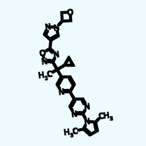 Cc1ccc(C)n1-c1ncc(-c2ccc(C(C)(c3noc(-c4cnn(C5COC5)c4)n3)C3CC3)cn2)cn1